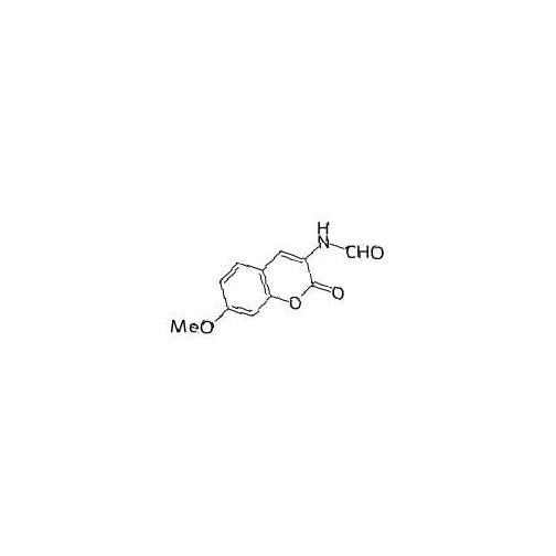 COc1ccc2cc(NC=O)c(=O)oc2c1